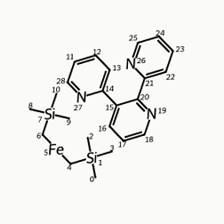 C[Si](C)(C)[CH2][Fe][CH2][Si](C)(C)C.c1ccc(-c2cccnc2-c2ccccn2)nc1